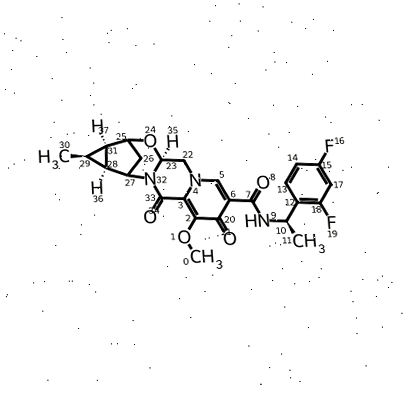 COc1c2n(cc(C(=O)N[C@H](C)c3ccc(F)cc3F)c1=O)C[C@@H]1OC3CC([C@H]4[C@@H](C)[C@@H]34)N1C2=O